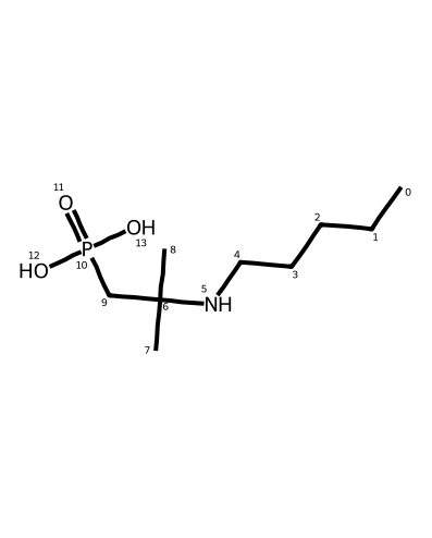 CCCCCNC(C)(C)CP(=O)(O)O